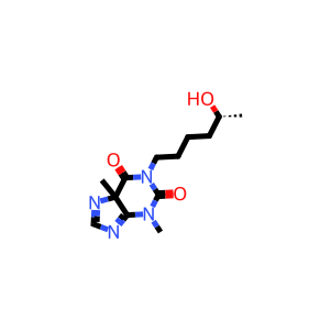 C[C@@H](O)CCCCN1C(=O)N(C)C2=NC=NC2(C)C1=O